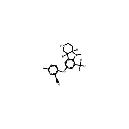 Cc1ccc(Nc2cc3c(c(C(F)(F)F)c2)N(C)[C@H]2CCNC[C@@H]32)c(C#N)n1